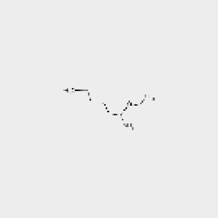 [CH2]CCCCC(N)OCC